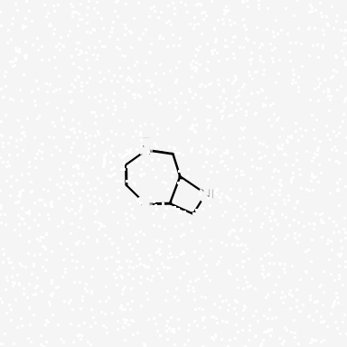 C1COC2CNC2CN1